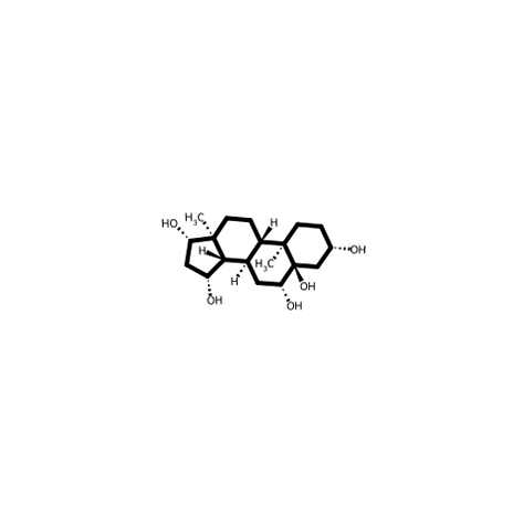 C[C@]12CC[C@H]3[C@@H](C[C@@H](O)[C@@]4(O)C[C@@H](O)CC[C@]34C)[C@@H]1[C@H](O)C[C@@H]2O